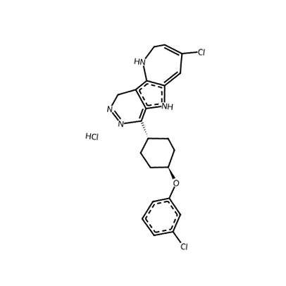 Cl.ClC1=CCNc2c3c([nH]c2=C1)=C([C@H]1CC[C@H](Oc2cccc(Cl)c2)CC1)N=NC3